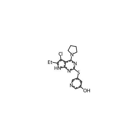 CCc1[nH]c2nc(Sc3cncc(O)c3)nc(N3CCCC3)c2c1Cl